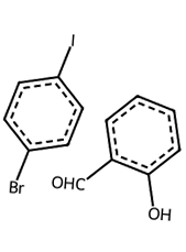 Brc1ccc(I)cc1.O=Cc1ccccc1O